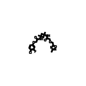 Cc1noc(COCC(=O)NC2(C)CC(C)(NC(=O)COc3ccc(Cl)c(F)c3)C2)n1